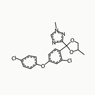 CC1COC(c2ncn(C)n2)(c2ccc(Oc3ccc(Cl)cc3)cc2Cl)O1